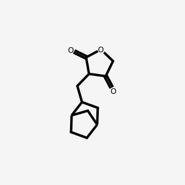 O=C1COC(=O)C1CC1CC2CCC1C2